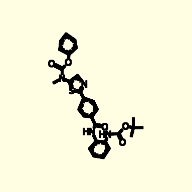 CN(C(=O)Oc1ccccc1)c1cnc(-c2ccc(C(=O)Nc3ccccc3NC(=O)OC(C)(C)C)cc2)s1